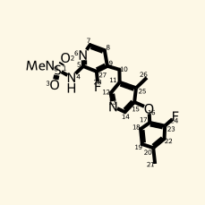 CNS(=O)(=O)Nc1nccc(Cc2cncc(Oc3ccc(C)cc3F)c2C)c1F